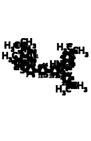 Cc1ccc(Sc2ccc(-c3ccc(-c4ccc(Sc5ccc(N(C)C)cc5)c(Nc5ncnc6nc(C(C)C)ccc56)c4)cc3)cc2Nc2ncnc3nc(C(C)C)ccc23)cc1